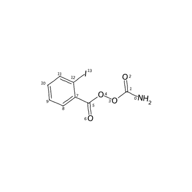 NC(=O)OOC(=O)c1ccccc1I